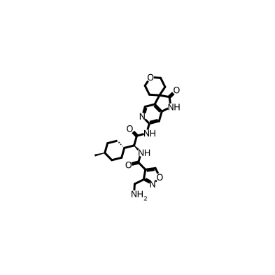 C[C@H]1CC[C@H]([C@H](NC(=O)c2conc2CN)C(=O)Nc2cc3c(cn2)C2(CCOCC2)C(=O)N3)CC1